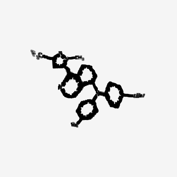 Cn1nc(C(F)(F)F)cc1-c1nccc2c(N(c3ccc(C(C)(C)C)cc3)c3ccc(C(C)(C)C)cc3)cccc12